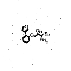 CC(C)(C)C(N)C(O)COc1ccccc1-c1ccoc1